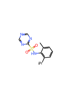 Cc1cccc(C(C)C)c1NS(=O)(=O)c1ncncn1